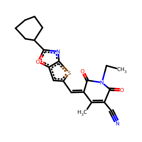 CCN1C(=O)C(C#N)=C(C)/C(=C/c2cc3oc(C4CCCCC4)nc3s2)C1=O